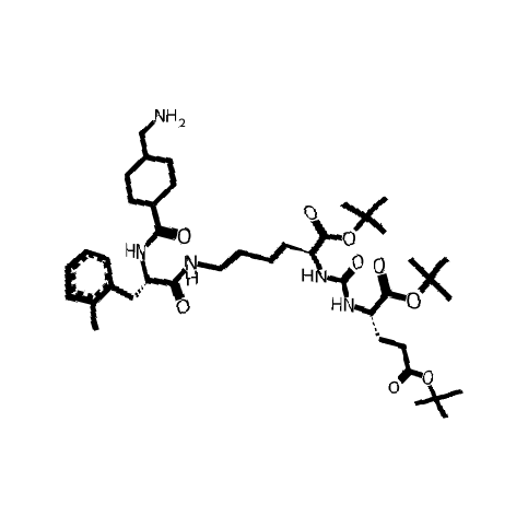 Cc1ccccc1C[C@H](NC(=O)C1CCC(CN)CC1)C(=O)NCCCC[C@H](NC(=O)N[C@@H](CCC(=O)OC(C)(C)C)C(=O)OC(C)(C)C)C(=O)OC(C)(C)C